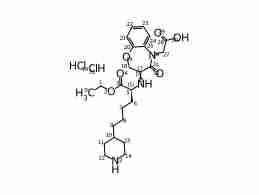 CCOC(=O)[C@H](CCCCC1CCNCC1)N[C@H]1COc2ccccc2N(CC(=O)O)C1=O.Cl.Cl